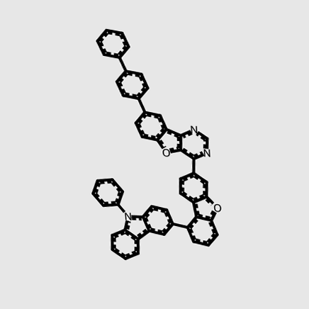 c1ccc(-c2ccc(-c3ccc4oc5c(-c6ccc7c(c6)oc6cccc(-c8ccc9c(c8)c8ccccc8n9-c8ccccc8)c67)ncnc5c4c3)cc2)cc1